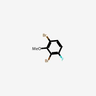 COc1c(Br)c[c]c(F)c1Br